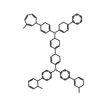 CC1=CC(C2C=CC(N(C3=CC=C(c4ccccc4)CC3)C3C=CC(C4C=CC(N(c5ccc(C6=CC(C)CC=C6)cc5)c5ccc(C6C=CC=CC6C)cc5)=CC4)=CC3)=CC2)C=CC=C1